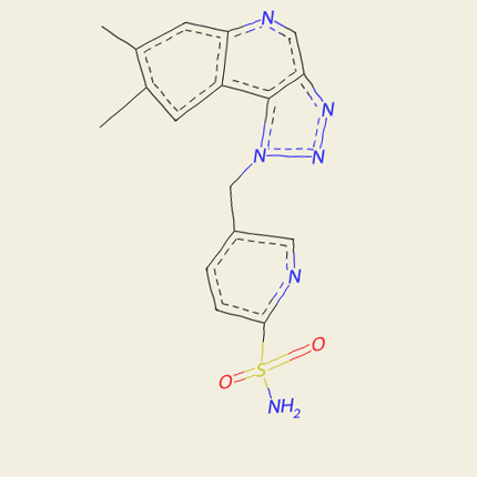 Cc1cc2ncc3nnn(Cc4ccc(S(N)(=O)=O)nc4)c3c2cc1C